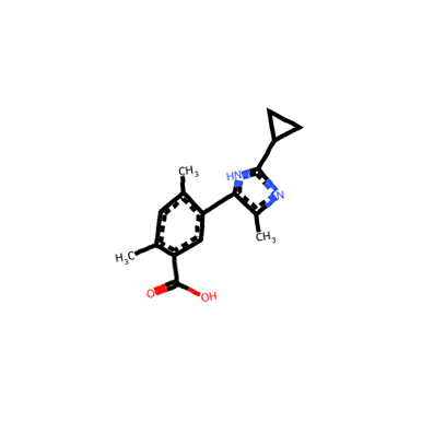 Cc1cc(C)c(-c2[nH]c(C3CC3)nc2C)cc1C(=O)O